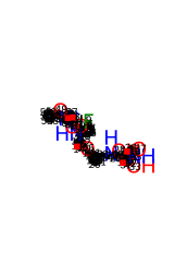 O=C(NC(c1cccc(F)c1)c1cccc(OCc2cccc(CCNC[C@H](O)c3ccc(O)c4[nH]c(=O)ccc34)c2)c1)O[C@H]1C[N+]2(CC(=O)c3ccccc3)CCC1CC2